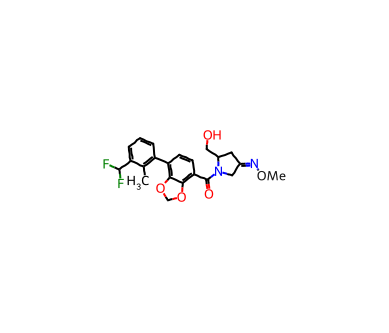 CO/N=C1/CC(CO)N(C(=O)c2ccc(-c3cccc(C(F)F)c3C)c3c2OCO3)C1